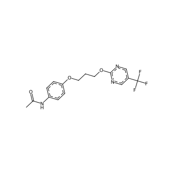 CC(=O)Nc1ccc(OCCCOc2ncc(C(F)(F)F)cn2)cc1